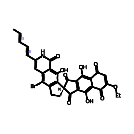 C/C=C/C=C/c1cc2c(Br)c3c(c(O)c2c(=O)[nH]1)[C@@]1(CC3)C(=O)c2c(O)c3c(c(O)c2C1=O)C(=O)C(OCC)=CC3=O